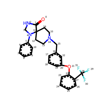 O=C1NCN(c2ccccc2)C12CCN(Cc1cccc(Oc3ccccc3C(F)(F)F)c1)CC2